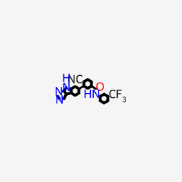 N#Cc1ccc(C(=O)Nc2cccc(C(F)(F)F)c2)cc1-c1ccc2c(c1)[nH]c1ncncc12